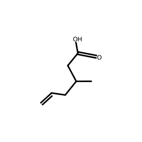 C=CCC(C)CC(=O)O